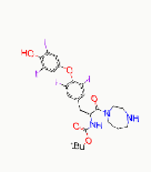 CC(C)(C)OC(=O)N[C@@H](Cc1cc(I)c(Oc2cc(I)c(O)c(I)c2)c(I)c1)C(=O)N1CCCNCC1